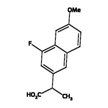 COc1ccc2cc(C(C)C(=O)O)cc(F)c2c1